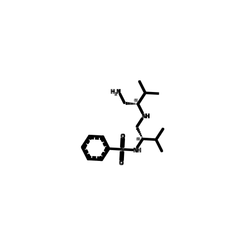 CC(C)[C@@H](CN)NC[C@@H](NS(=O)(=O)c1ccccc1)C(C)C